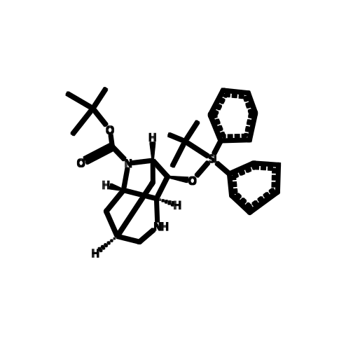 CC(C)(C)OC(=O)N1[C@H]2C[C@@H]3CN[C@@H]2[C@H](O[Si](c2ccccc2)(c2ccccc2)C(C)(C)C)[C@@H]1C3